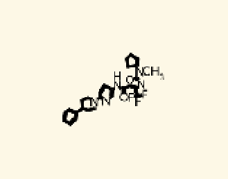 CN(c1nc(C(F)(F)F)c(C(=O)Nc2ccc(N3CCC(c4ccccc4)CC3)nc2)o1)C1CCCC1